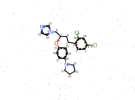 Clc1ccc(CCC(Cn2ccnc2)Oc2ccc(N3CCCC3)cc2)c(Cl)c1